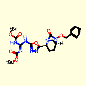 CC(C)(C)OC(=O)/N=C(\NC(=O)OC(C)(C)C)Nc1nnc([C@@H]2CC[C@H]3CN2C(=O)N3OCc2ccccc2)o1